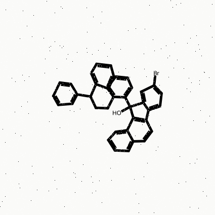 OC1(c2ccccc2CCC(c2ccccc2)c2ccccc2)c2cc(Br)ccc2-c2ccc3ccccc3c21